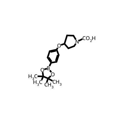 CC1(C)OB(c2ccc(OC3CCN(C(=O)O)CC3)cc2)OC1(C)C